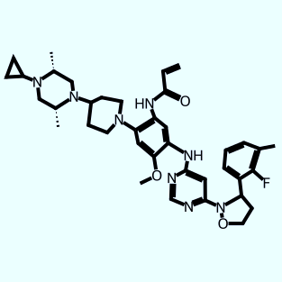 C=CC(=O)Nc1cc(Nc2cc(N3OCCC3c3cccc(C)c3F)ncn2)c(OC)cc1N1CCC(N2C[C@@H](C)N(C3CC3)C[C@H]2C)CC1